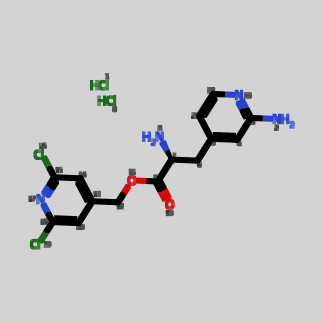 Cl.Cl.Nc1cc(C[C@H](N)C(=O)OCc2cc(Cl)nc(Cl)c2)ccn1